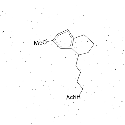 COc1ccc2c(c1)C(CCCCNC(C)=O)CCC2